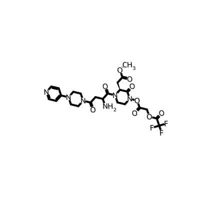 COC(=O)C[C@H]1C(=O)N(OC(=O)COC(=O)C(F)(F)F)CCN1C(=O)C(N)CC(=O)N1CCN(c2ccncc2)CC1